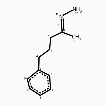 C/C(CCCc1ccccc1)=N\N